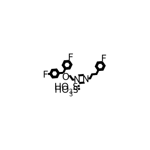 CS(=O)(=O)O.CS(=O)(=O)O.Fc1ccc(CCCN2CCN(CCOC(c3ccc(F)cc3)c3ccc(F)cc3)CC2)cc1